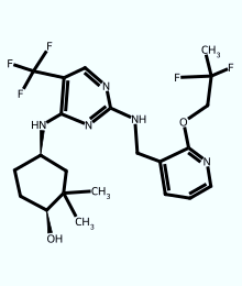 CC(F)(F)COc1ncccc1CNc1ncc(C(F)(F)F)c(N[C@@H]2CC[C@H](O)C(C)(C)C2)n1